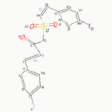 O=C(/C=C/c1ccc(I)cc1)CS(=O)(=O)/C=C\c1ccc(I)cc1